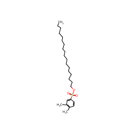 CCCCCCCCCCCCCCCCCCOS(=O)(=O)c1ccc(C)c(C)c1